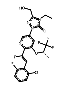 CCn1c(CO)nn(-c2cnc(/C(F)=C/c3c(F)cccc3Cl)c(O[C@@H](C)C(F)(F)F)c2)c1=O